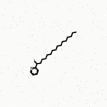 CCCCCCCCCCCCCCCC(I)c1ccccn1